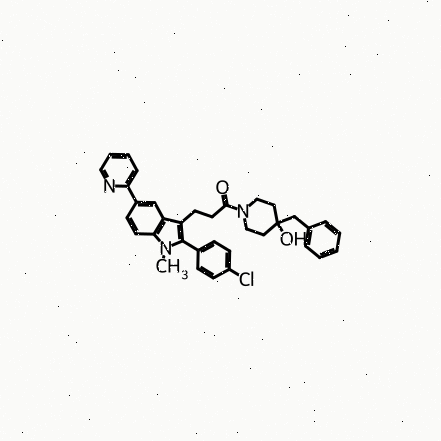 Cn1c(-c2ccc(Cl)cc2)c(CCC(=O)N2CCC(O)(Cc3ccccc3)CC2)c2cc(-c3ccccn3)ccc21